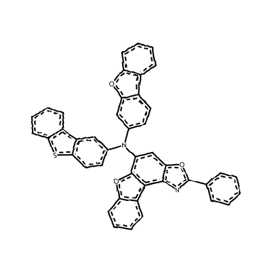 c1ccc(-c2nc3c(cc(N(c4ccc5c(c4)oc4ccccc45)c4ccc5sc6ccccc6c5c4)c4oc5ccccc5c43)o2)cc1